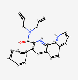 C=CCN(CC=C)C(=O)c1nc2c(ccc3cccnc32)cc1-c1ccccc1